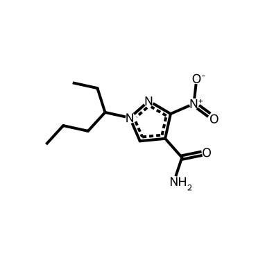 CCCC(CC)n1cc(C(N)=O)c([N+](=O)[O-])n1